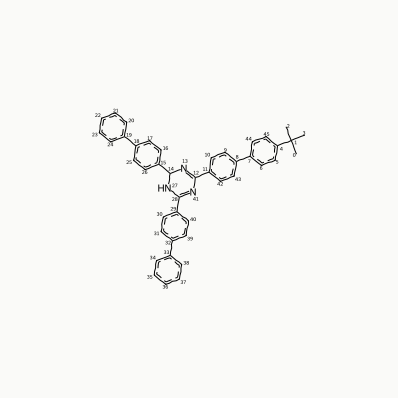 CC(C)(C)c1ccc(-c2ccc(C3=NC(c4ccc(-c5ccccc5)cc4)NC(c4ccc(-c5ccccc5)cc4)=N3)cc2)cc1